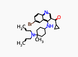 C=CCN(CC=C)C1(C)CCC(Nc2c(C(=O)C3CC3)cnc3ccc(Br)cc23)CC1